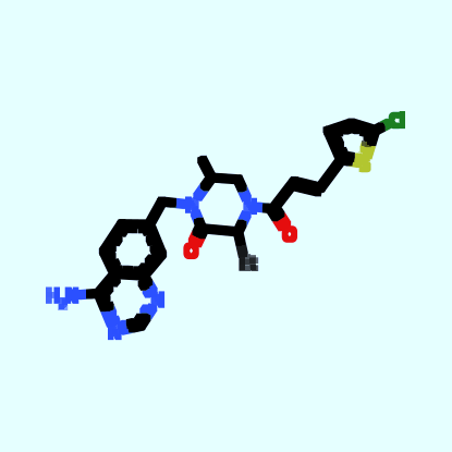 CCC1C(=O)N(Cc2ccc3c(N)ncnc3c2)C(C)CN1C(=O)/C=C/c1ccc(Cl)s1